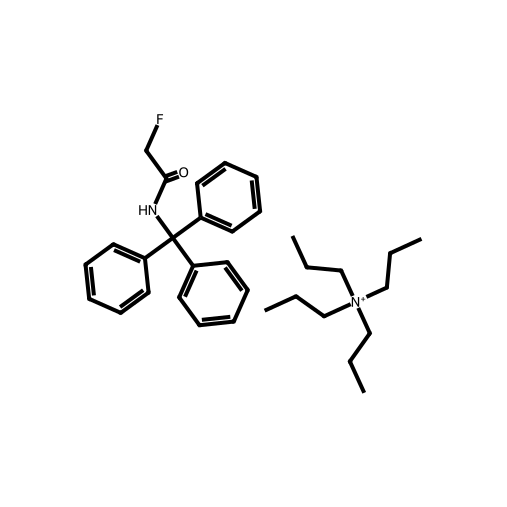 CCC[N+](CCC)(CCC)CCC.O=C(CF)NC(c1ccccc1)(c1ccccc1)c1ccccc1